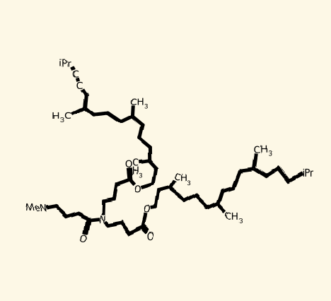 CNCCCC(=O)N(CCCC(=O)OCCC(C)CCCC(C)CCCC(C)CCCC(C)C)CCCC(=O)OCCC(C)CCCC(C)CCCC(C)CCCC(C)C